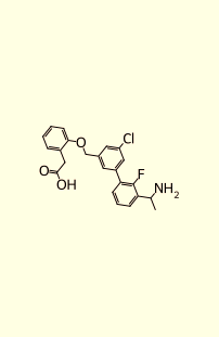 CC(N)c1cccc(-c2cc(Cl)cc(COc3ccccc3CC(=O)O)c2)c1F